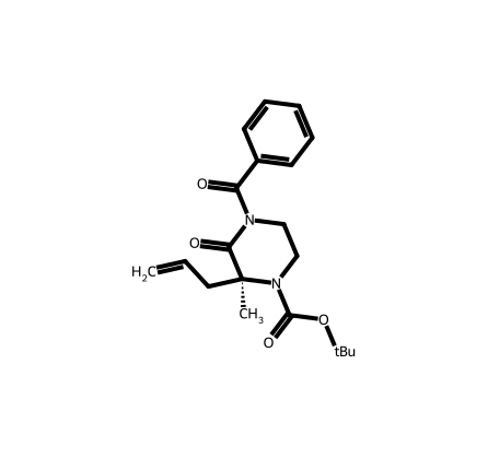 C=CC[C@@]1(C)C(=O)N(C(=O)c2ccccc2)CCN1C(=O)OC(C)(C)C